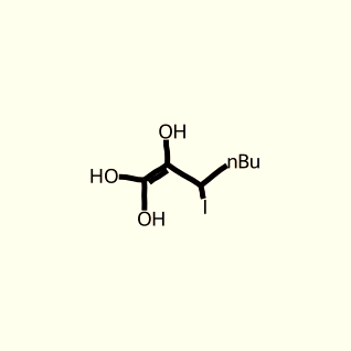 CCCCC(I)C(O)=C(O)O